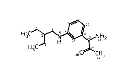 CCC(CC)CNc1cccc(C(N)C(C)=O)c1